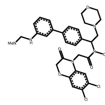 CNCNc1cccc(-c2ccc(C(CN3CCOCC3)N(C)C(=O)CN3C(=O)COc4cc(Cl)c(Cl)cc43)cc2)c1